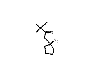 CC(C)(C)C(=O)CC1(N)CCCC1